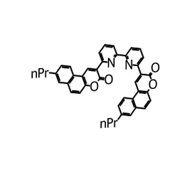 CCCc1ccc2c(ccc3oc(=O)c(-c4cccc(-c5cccc(-c6cc7c(ccc8cc(CCC)ccc87)oc6=O)n5)n4)cc32)c1